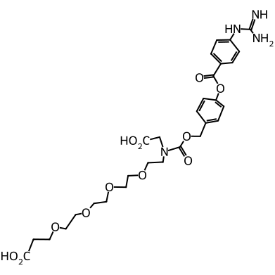 N=C(N)Nc1ccc(C(=O)Oc2ccc(COC(=O)N(CCOCCOCCOCCOCCC(=O)O)CC(=O)O)cc2)cc1